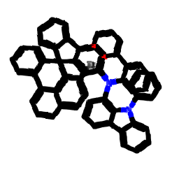 CCc1ccc2cccc3c2c1C1(c2ccccc2-c2ccc(N(c4ccccc4-c4ccccc4)c4cccc5c6ccccc6n(-c6ccccc6)c45)cc21)c1ccccc1-3